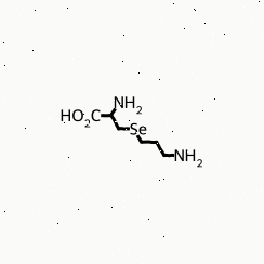 NCCC[Se]CC(N)C(=O)O